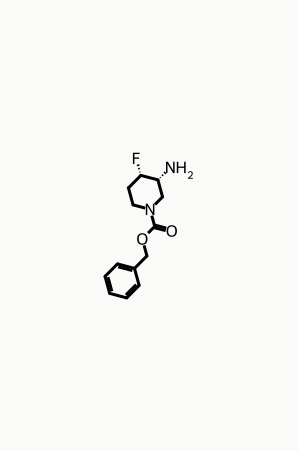 N[C@@H]1CN(C(=O)OCc2ccccc2)CC[C@@H]1F